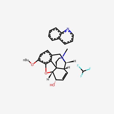 CCCCOc1ccc2c3c1O[C@H]1[C@@H](O)C=C[C@H]4[C@@H](C2)N(C)CC[C@@]341.FC(F)F.c1ccc2ncccc2c1